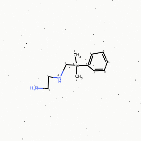 C[Si](C)(CNCCN)c1ccccc1